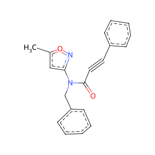 Cc1cc(N(Cc2ccccc2)C(=O)C#Cc2ccccc2)no1